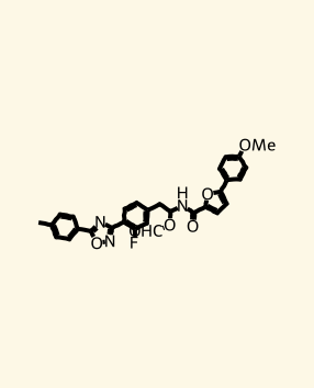 COc1ccc(-c2ccc(C(=O)NC(Cc3ccc(-c4noc(-c5ccc(C)cc5)n4)c(F)c3)OC=O)o2)cc1